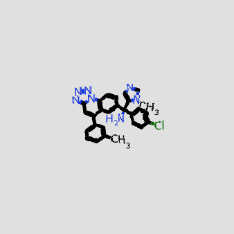 Cc1cccc(-c2cc3nnnn3c3ccc(C(N)(c4ccc(Cl)cc4)c4cncn4C)cc23)c1